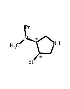 CC[C@@H]1CNC[C@@H]1N(C)C(C)C